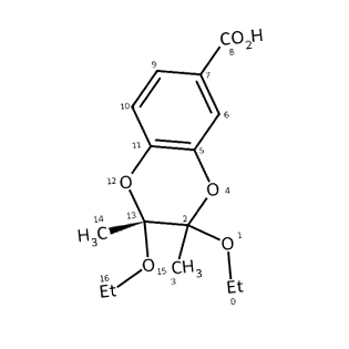 CCOC1(C)Oc2cc(C(=O)O)ccc2O[C@@]1(C)OCC